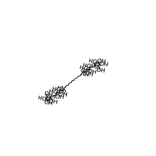 O=C(NCCCCCCCCCCCCNC(=O)[C@H](O)[C@@H](O)[C@H](O)[C@H](O)CO[C@H]1O[C@H](CO)[C@H](O)[C@H](O)[C@H]1O)[C@H](O)[C@@H](O)[C@H](O)[C@H](O)CO[C@H]1O[C@H](CO)[C@H](O)[C@H](O)[C@H]1O